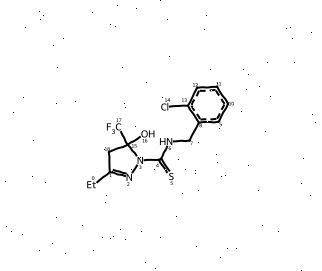 CCC1=NN(C(=S)NCc2ccccc2Cl)C(O)(C(F)(F)F)C1